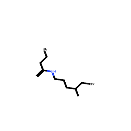 C=C(CCC(C)C)NCCCC(C)CC(C)C